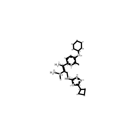 Cc1nc(/C(N)=C(\CNc2nnc(C3CCC3)o2)N(C)N)ccc1OC1CCCCC1